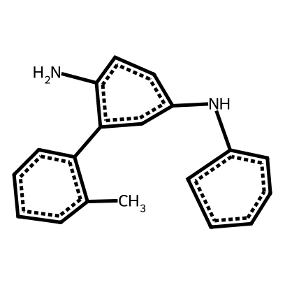 Cc1ccccc1-c1cc(Nc2ccccc2)ccc1N